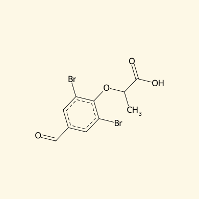 CC(Oc1c(Br)cc(C=O)cc1Br)C(=O)O